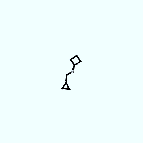 C1CC([N]CC2CC2)C1